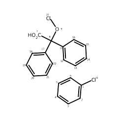 Clc1ccccc1.O=C(O)C(OCl)(c1ccccc1)c1ccccc1